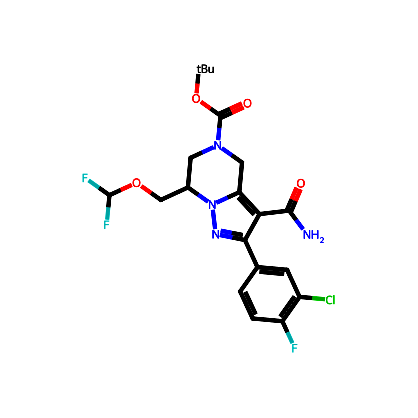 CC(C)(C)OC(=O)N1Cc2c(C(N)=O)c(-c3ccc(F)c(Cl)c3)nn2C(COC(F)F)C1